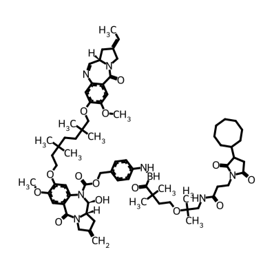 C=C1C[C@H]2[C@H](O)N(C(=O)OCc3ccc(NBC(=O)C(C)(C)CCOC(C)(C)CNC(=O)CCN4C(=O)CC(C5CCCCCCC5)C4=O)cc3)c3cc(OCCC(C)(C)CCC(C)(C)COc4cc5c(cc4OC)C(=O)N4C/C(=C/C)C[C@H]4C=N5)c(OC)cc3C(=O)N2C1